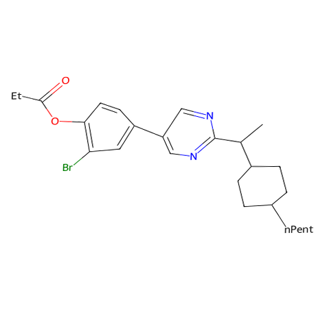 CCCCCC1CCC(C(C)c2ncc(-c3ccc(OC(=O)CC)c(Br)c3)cn2)CC1